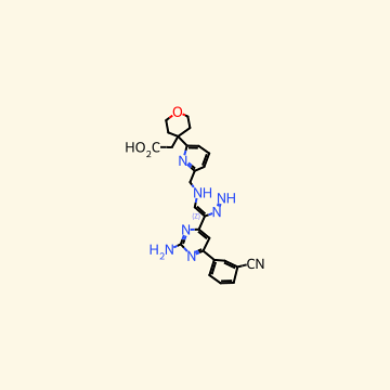 N#Cc1cccc(-c2cc(/C(=C/NCc3cccc(C4(CC(=O)O)CCOCC4)n3)N=N)nc(N)n2)c1